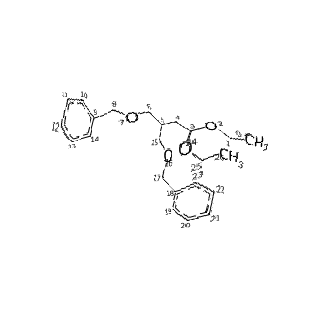 CCOC(CC(COCc1ccccc1)COCc1ccccc1)OCC